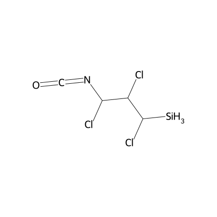 O=C=NC(Cl)C(Cl)C([SiH3])Cl